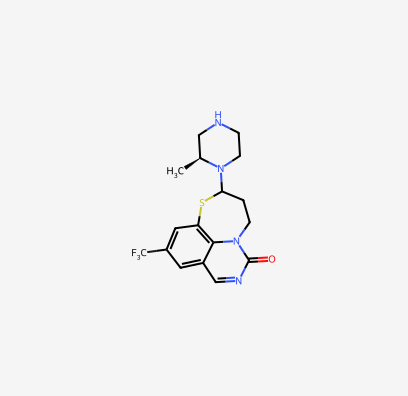 C[C@H]1CNCCN1C1CCn2c(=O)ncc3cc(C(F)(F)F)cc(c32)S1